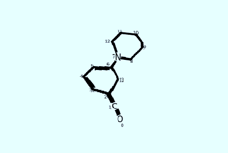 O=C=C1[C]=CC=C(N2CCCCC2)C1